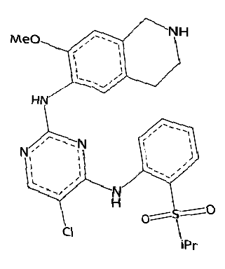 COc1cc2c(cc1Nc1ncc(Cl)c(Nc3ccccc3S(=O)(=O)C(C)C)n1)CCNC2